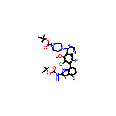 COc1c(Cl)c(-c2ccc(F)c3sc(NC(=O)OC(C)(C)C)nc23)c(F)c2ncnc(N3CCN(C(=O)OC(C)(C)C)CC3)c12